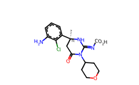 C[C@@]1(c2cccc(N)c2Cl)CC(=O)N(C2CCOCC2)C(=NC(=O)O)N1